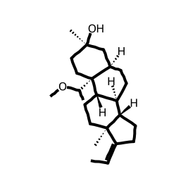 C/C=C1/CC[C@H]2[C@@H]3CC[C@@H]4C[C@](C)(O)CC[C@]4(C(C)OC)[C@H]3CC[C@]12C